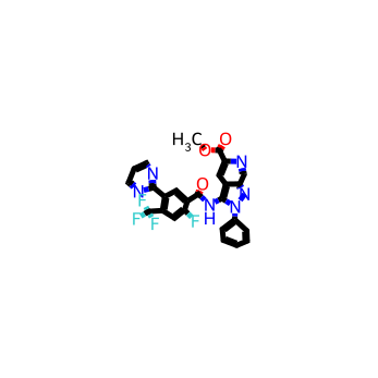 COC(=O)c1cc2c(NC(=O)c3cc(-c4ncccn4)c(C(F)(F)F)cc3F)n(-c3ccccc3)nc2cn1